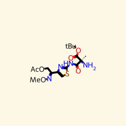 CON=C(COC(C)=O)c1csc(NC(=O)[C@](C)(N)C(=O)OC(C)(C)C)n1